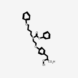 CCOC(Cc1ccc(OCCN(CCCCOc2ccccc2)C(=O)Oc2ccccc2)cc1)C(=O)O